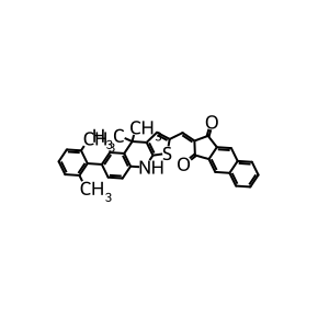 Cc1cccc(C)c1-c1ccc2c(c1)C(C)(C)c1cc(C=C3C(=O)c4cc5ccccc5cc4C3=O)sc1N2